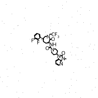 Cn1c(=O)n(C2CCN(C(=O)N[C@@H]3CC[C@@H](c4cccc(F)c4F)CN(CC(F)(F)F)C3=O)CC2)c2cccnc21